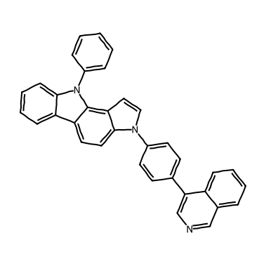 c1ccc(-n2c3ccccc3c3ccc4c(ccn4-c4ccc(-c5cncc6ccccc56)cc4)c32)cc1